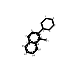 Ic1c(C2CCCCC2)ccc2ccccc12